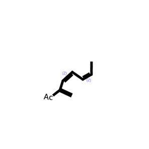 C=C(/C=C\C=C/C)C(C)=O